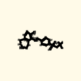 CC(C)(C)CS(=O)(=O)c1ccc(CNc2c(Cl)ccc3c2CCNCC3)cn1